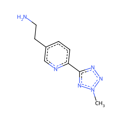 Cn1nnc(-c2ccc(CCN)cn2)n1